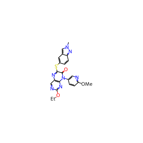 CCOc1ncc2nc(Sc3ccc4nn(C)cc4c3)c(=O)n(-c3ccc(OC)nc3)c2n1